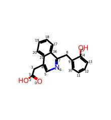 O=C(O)Cc1cnc(Cc2ccccc2O)c2ccccc12